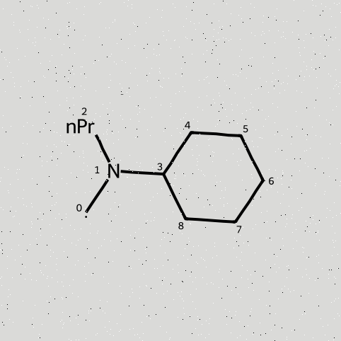 [CH2]N(CCC)C1CCCCC1